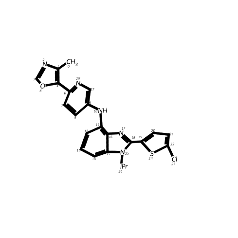 Cc1ncoc1-c1ccc(Nc2cccc3c2nc(-c2ccc(Cl)s2)n3C(C)C)cn1